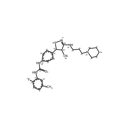 Cc1ccc(F)c(NC(=O)Nc2ccc(C3SN=C(NCCCN4CCCCC4)C3C#N)cc2)c1